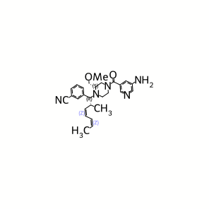 C/C=C\C=C/C(C)[C@H](c1cccc(C#N)c1)N1CCN(C(=O)c2cncc(N)c2)C[C@H]1COC